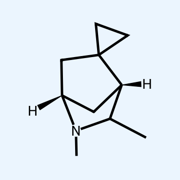 CC1[C@@H]2C[C@@H](CC23CC3)N1C